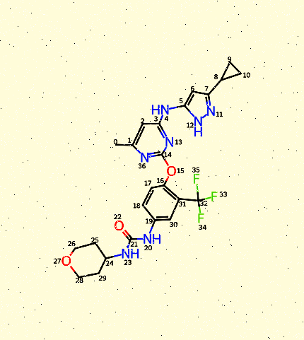 Cc1cc(Nc2cc(C3CC3)n[nH]2)nc(Oc2ccc(NC(=O)NC3CCOCC3)cc2C(F)(F)F)n1